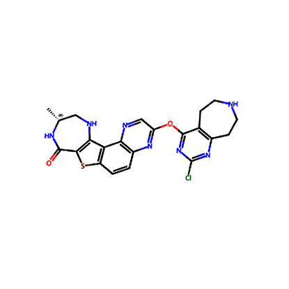 C[C@@H]1CNc2c(sc3ccc4nc(Oc5nc(Cl)nc6c5CCNCC6)cnc4c23)C(=O)N1